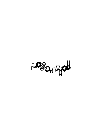 O=C(CON=C1CCN(S(=O)(=O)c2cccc(C(F)(F)F)c2)CC1)Nc1ccc2[nH]ccc2c1